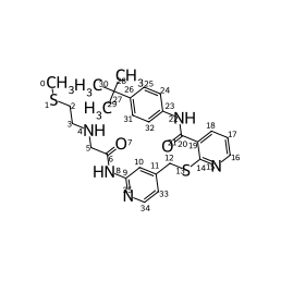 CSCCNCC(=O)Nc1cc(CSc2ncccc2C(=O)Nc2ccc(C(C)(C)C)cc2)ccn1